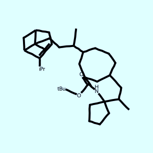 CC(C)C1=CCC2CC1C2(C)CCC(C)C1CCCC(CC(C)C2(NC(=O)OC(C)(C)C)CCCC2)CCC1